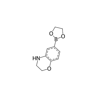 c1cc2c(cc1B1OCCO1)NCCO2